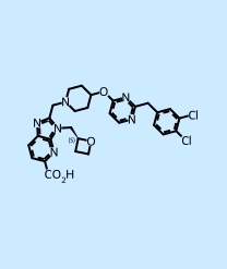 O=C(O)c1ccc2nc(CN3CCC(Oc4ccnc(Cc5ccc(Cl)c(Cl)c5)n4)CC3)n(C[C@@H]3CCO3)c2n1